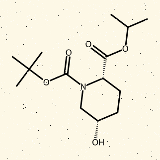 CC(C)OC(=O)[C@@H]1CC[C@H](O)CN1C(=O)OC(C)(C)C